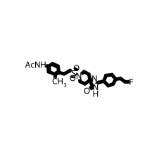 CC(=O)Nc1ccc(CCS(=O)(=O)N2CCC3(CC2)N=C(C2CCC(CCF)CC2)NC3=O)c(C)c1